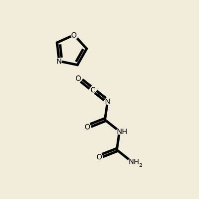 NC(=O)NC(=O)N=C=O.c1cocn1